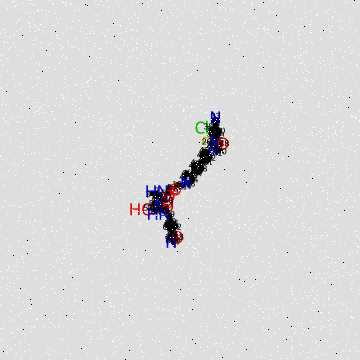 CC(C)(C)[C@H](NC(=O)COCCN1CCC(c2ccc(-c3ccc(N4C(=S)N(c5ccc(C#N)c(Cl)c5)C(=O)C4(C)C)cc3)cc2)CC1)C(=O)N1C[C@H](O)C[C@H]1C(=O)NCc1ccc(-c2cnco2)cc1